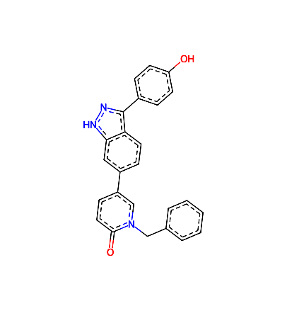 O=c1ccc(-c2ccc3c(-c4ccc(O)cc4)n[nH]c3c2)cn1Cc1ccccc1